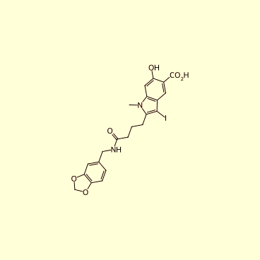 Cn1c(CCCC(=O)NCc2ccc3c(c2)OCO3)c(I)c2cc(C(=O)O)c(O)cc21